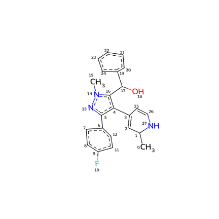 CC1C=C(c2c(-c3ccc(F)cc3)nn(C)c2C(O)c2ccccc2)C=CN1